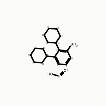 O=PO.[BiH2][c]1cccc(C2CCCCC2)c1C1CCCCC1